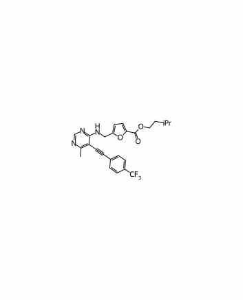 Cc1ncnc(NCc2ccc(C(=O)OCCC(C)C)o2)c1C#Cc1ccc(C(F)(F)F)cc1